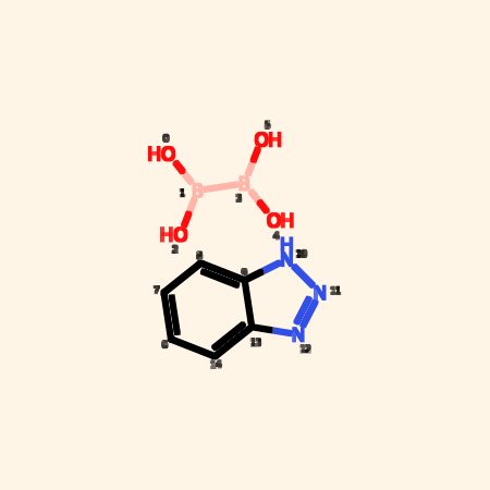 OB(O)B(O)O.c1ccc2[nH]nnc2c1